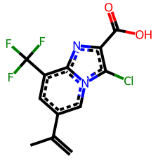 C=C(C)c1cc(C(F)(F)F)c2nc(C(=O)O)c(Cl)n2c1